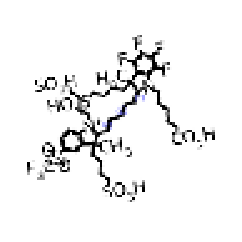 CC1(CCCCS(=O)(=O)O)C(/C=C/C=C/C=C2/N(CCCCCC(=O)O)c3c(F)c(F)c(F)c(F)c3C2(C)CCCCS(=O)(=O)O)=[N+](CCCCS(=O)(=O)O)c2ccc(S(=O)(=O)C(F)(F)F)cc21